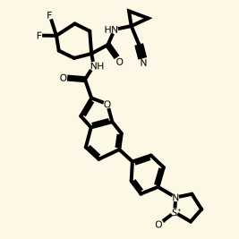 N#CC1(NC(=O)C2(NC(=O)c3cc4ccc(-c5ccc(N6CCC[S+]6[O-])cc5)cc4o3)CCC(F)(F)CC2)CC1